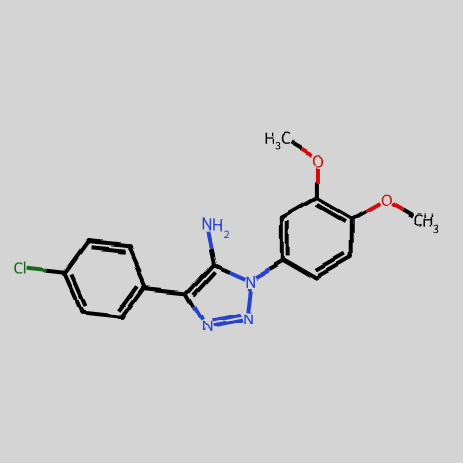 COc1ccc(-n2nnc(-c3ccc(Cl)cc3)c2N)cc1OC